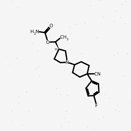 CC(OC(N)=O)[C@@H]1CCN(C2CCC(C#N)(c3ccc(F)cc3)CC2)C1